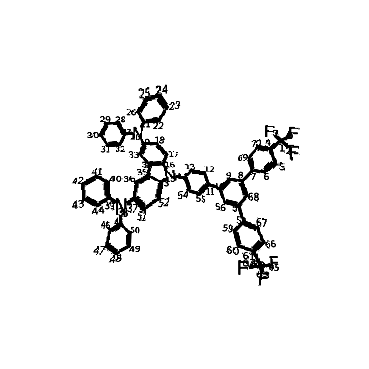 FC(F)(F)c1ccc(-c2cc(-c3ccc(-n4c5ccc(N(c6ccccc6)c6ccccc6)cc5c5cc(N(c6ccccc6)c6ccccc6)ccc54)cc3)cc(-c3ccc(C(F)(F)F)cc3)c2)cc1